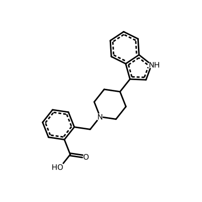 O=C(O)c1ccccc1CN1CCC(c2c[nH]c3ccccc23)CC1